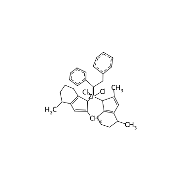 CC1=CC2=C(CCCC2C)[CH]1[Zr]([Cl])([Cl])(=[C](Cc1ccccc1)c1ccccc1)[CH]1C(C)=CC2=C1CCCC2C